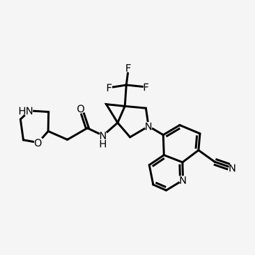 N#Cc1ccc(N2CC3(NC(=O)CC4CNCCO4)CC3(C(F)(F)F)C2)c2cccnc12